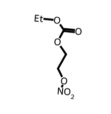 [CH2]COC(=O)OCCO[N+](=O)[O-]